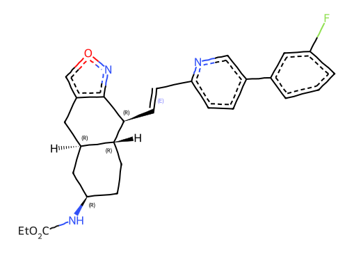 CCOC(=O)N[C@@H]1CC[C@@H]2[C@H](Cc3conc3[C@H]2/C=C/c2ccc(-c3cccc(F)c3)cn2)C1